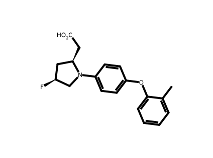 Cc1ccccc1Oc1ccc(N2C[C@@H](F)C[C@H]2CC(=O)O)cc1